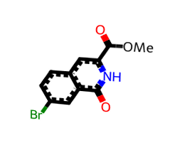 COC(=O)c1cc2ccc(Br)cc2c(=O)[nH]1